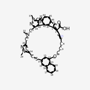 CC1=C(C(=O)O)/C2=C\CCCOc3cc(cc4ccccc34)SCc3cc(nn3C)CN(C)Cc3nn(C)c(C)c3-c3c(Cl)ccc(c31)C2